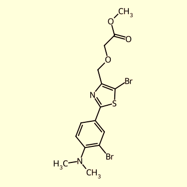 COC(=O)COCc1nc(-c2ccc(N(C)C)c(Br)c2)sc1Br